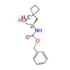 CC1(C[C@H](CO)NC(=O)OCc2ccccc2)CCC1